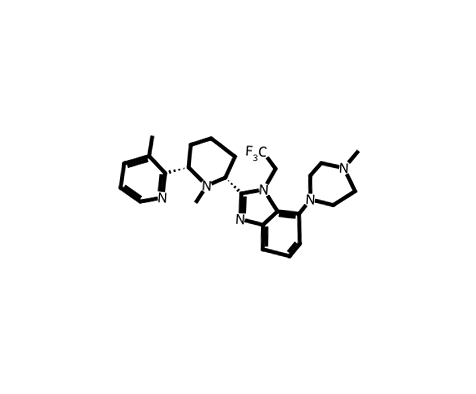 Cc1cccnc1[C@@H]1CCC[C@H](c2nc3cccc(N4CCN(C)CC4)c3n2CC(F)(F)F)N1C